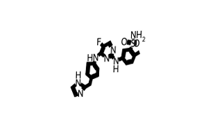 Cc1ccc(Nc2ncc(F)c(Nc3ccc(Cc4ncc[nH]4)cc3)n2)cc1S(N)(=O)=O